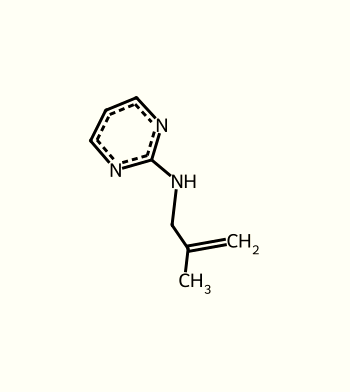 C=C(C)CNc1ncccn1